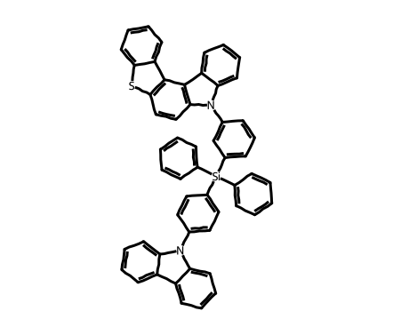 c1ccc([Si](c2ccccc2)(c2ccc(-n3c4ccccc4c4ccccc43)cc2)c2cccc(-n3c4ccccc4c4c5c(ccc43)sc3ccccc35)c2)cc1